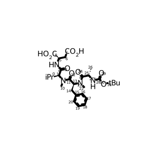 CC(C)[C@@H](C(=O)N[C@@H](CC(=O)O)C(=O)O)N(C)C(=O)[C@H](Cc1ccccc1)N(C)C(=O)[C@H](C)NC(=O)OC(C)(C)C